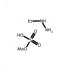 CCNN.COS(=O)(=O)O